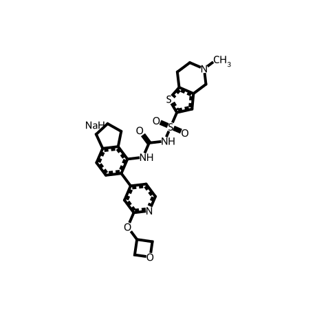 CN1CCc2sc(S(=O)(=O)NC(=O)Nc3c(-c4ccnc(OC5COC5)c4)ccc4c3CCC4)cc2C1.[NaH]